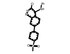 CC(C)Nc1c(Cl)nnc2cc(-c3ccc(S(C)(=O)=O)cc3)ccc12